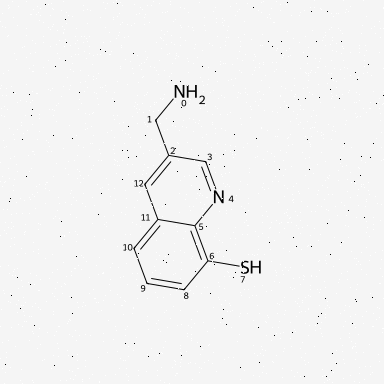 NCc1cnc2c(S)cccc2c1